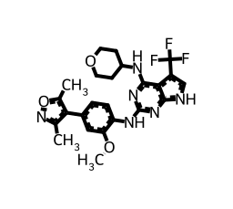 COc1cc(-c2c(C)noc2C)ccc1Nc1nc(NC2CCOCC2)c2c(C(F)(F)F)c[nH]c2n1